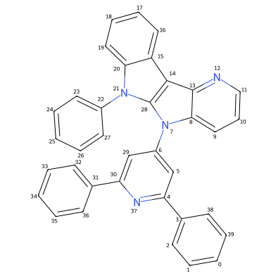 c1ccc(-c2cc(-n3c4cccnc4c4c5ccccc5n(-c5ccccc5)c43)cc(-c3ccccc3)n2)cc1